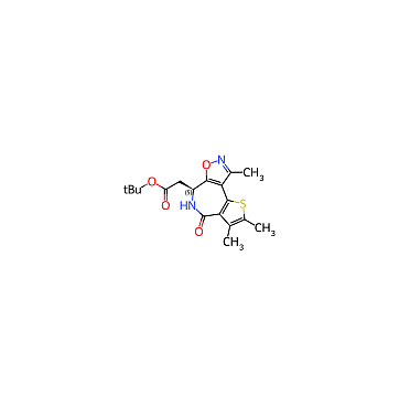 Cc1noc2c1-c1sc(C)c(C)c1C(=O)N[C@H]2CC(=O)OC(C)(C)C